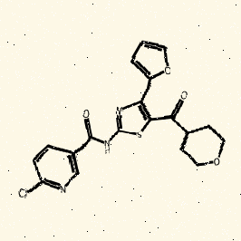 O=C(Nc1nc(-c2ccco2)c(C(=O)C2CCOCC2)s1)c1ccc(Cl)nc1